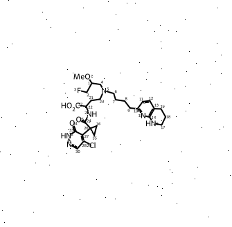 COC(CF)CN(CCCCc1ccc2c(n1)NCCC2)CCC(NC(=O)C1(c2c(Cl)cn[nH]c2=O)CC1)C(=O)O